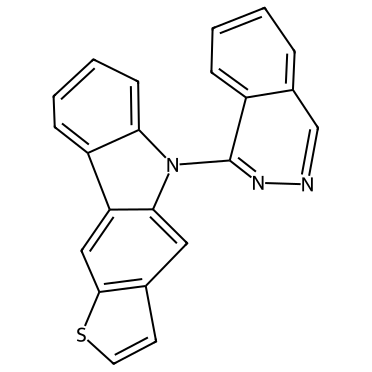 c1ccc2c(-n3c4ccccc4c4cc5sccc5cc43)nncc2c1